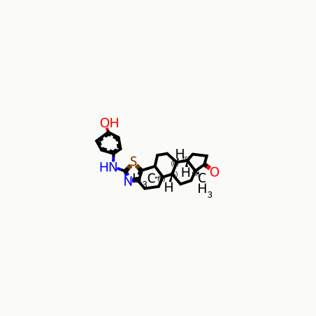 C[C@]12CCc3nc(Nc4ccc(O)cc4)sc3C1CC[C@@H]1[C@@H]2CC[C@]2(C)C(=O)CC[C@@H]12